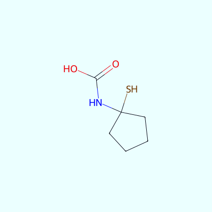 O=C(O)NC1(S)CCCC1